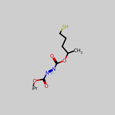 CC(C)OC(=O)/N=N/C(=O)OC(C)CCCS